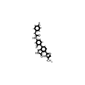 Cc1cnc(-c2ccc(-c3ccc(NC(=O)Cc4ccc(F)cc4)cc3F)c3c2C(=O)NC3)[nH]1